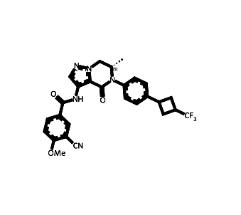 COc1ccc(C(=O)Nc2cnn3c2C(=O)N(c2ccc(C4CC(C(F)(F)F)C4)cc2)[C@@H](C)C3)cc1C#N